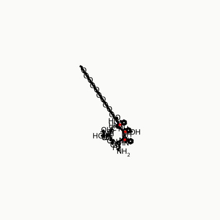 CCCOCCOCCOCCOCCOCCOCCOCCOCCOCCOCCC(=O)N[C@H](Cc1ccccc1)C(=O)NC1CSSC[C@@H](C(=O)N[C@H](C(=O)O)[C@@H](C)O)NC(=O)[C@H]([C@@H](C)O)NC(=O)[C@H](CCCCN)NC(=O)[C@@H](Cc2c[nH]c3ccccc23)NC(=O)[C@H](Cc2ccc(O)cc2)NC1=O